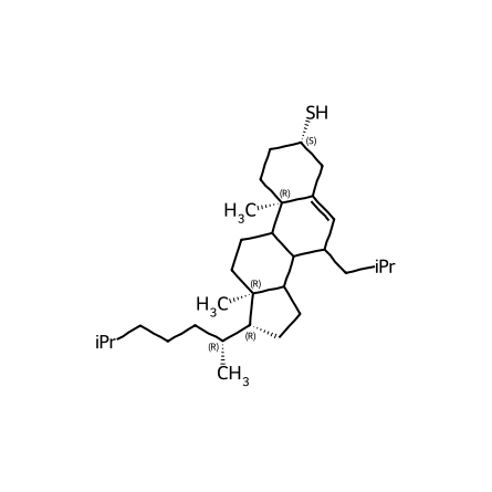 CC(C)CCC[C@@H](C)[C@H]1CCC2C3C(CC(C)C)C=C4C[C@@H](S)CC[C@]4(C)C3CC[C@@]21C